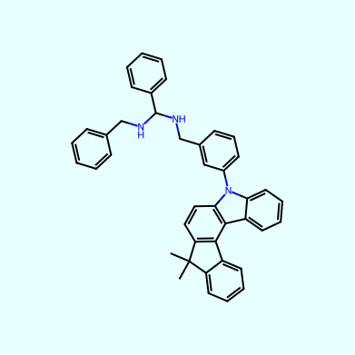 CC1(C)c2ccccc2-c2c1ccc1c2c2ccccc2n1-c1cccc(CNC(NCc2ccccc2)c2ccccc2)c1